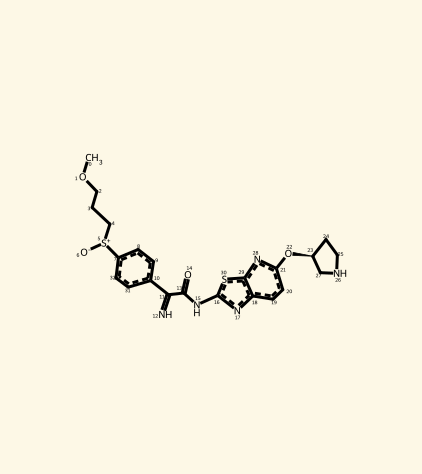 COCCC[S+]([O-])c1ccc(C(=N)C(=O)Nc2nc3ccc(O[C@H]4CCNC4)nc3s2)cc1